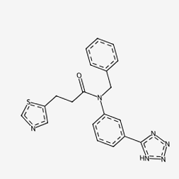 O=C(CCc1cncs1)N(Cc1ccccc1)c1cccc(-c2nnn[nH]2)c1